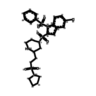 O=S(=O)(CCC1CN(S(=O)(=O)c2cc3cc(Cl)ccc3n2S(=O)(=O)c2ccccc2)CCN1)N1CCCC1